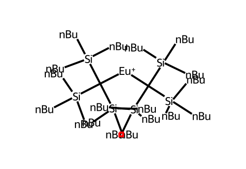 CCCC[Si](CCCC)(CCCC)[C]([Eu+][C]([Si](CCCC)(CCCC)CCCC)([Si](CCCC)(CCCC)CCCC)[Si](CCCC)(CCCC)CCCC)([Si](CCCC)(CCCC)CCCC)[Si](CCCC)(CCCC)CCCC